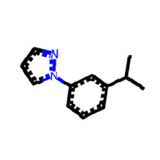 CC(C)c1cccc(-n2cccn2)c1